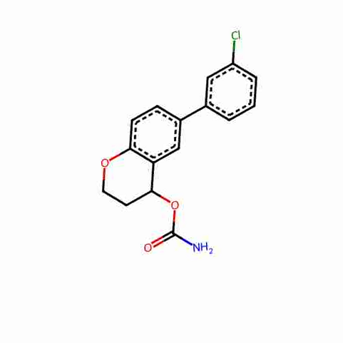 NC(=O)OC1CCOc2ccc(-c3cccc(Cl)c3)cc21